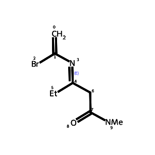 C=C(Br)/N=C(\CC)CC(=O)NC